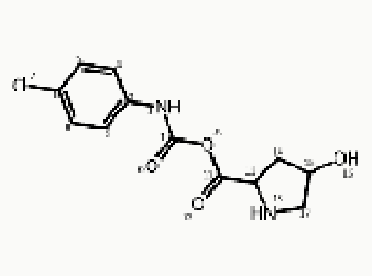 O=C(Nc1ccc(Cl)cc1)OC(=O)C1CC(O)CN1